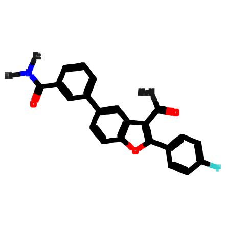 CCN(CC)C(=O)c1cccc(-c2ccc3oc(-c4ccc(F)cc4)c(C(=O)NC)c3c2)c1